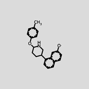 Cc1ccc(OC2CCC(c3cccc4ccc([O])cc34)CN2)cc1